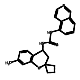 Cc1ccc2c(c1)OC1(CCC1)CC2NC(=O)Nc1cccc2cnccc12